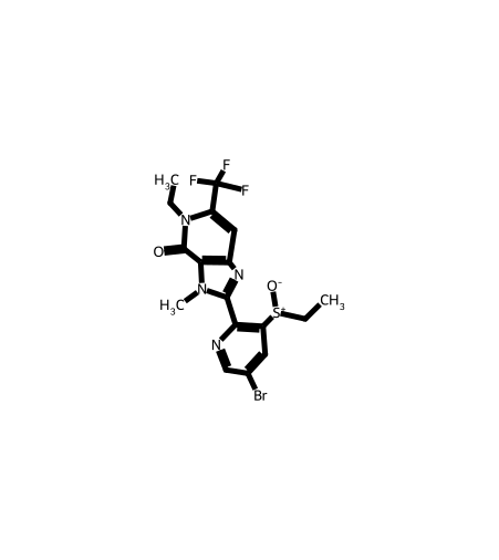 CCn1c(C(F)(F)F)cc2nc(-c3ncc(Br)cc3[S+]([O-])CC)n(C)c2c1=O